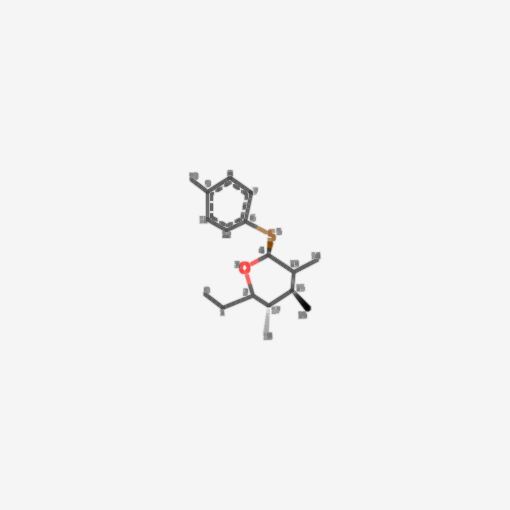 CCC1O[C@@H](Sc2ccc(C)cc2)C(C)[C@@H](C)[C@@H]1C